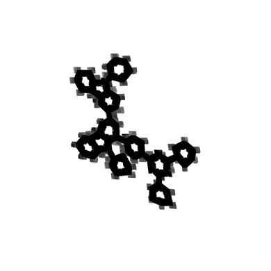 c1ccc(-c2nc(-c3ccccc3)nc(-c3ccc(-c4cc(-c5ccc6c(c5)c5ccccc5n6-c5ccccc5)cc5c6ccccc6n(-c6ccccc6)c45)cc3)n2)cc1